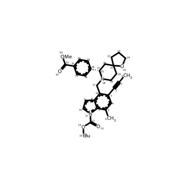 CC#Cc1cc(C)c2c(ccn2C(=O)OC(C)(C)C)c1CN1CCC2(CCCO2)C[C@H]1c1ccc(C(=O)OC)cc1